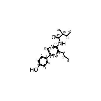 CCCc1nc(-c2ccc(O)cc2)cnc1NC(=O)C(C)CC